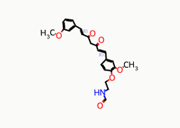 COc1cccc(/C=C/C(=O)CC(=O)/C=C/c2ccc(OCCNC=O)c(OC)c2)c1